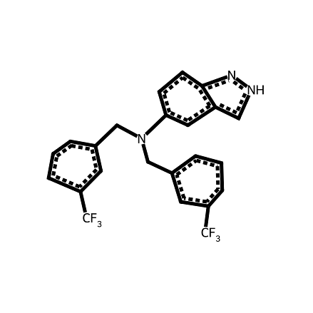 FC(F)(F)c1cccc(CN(Cc2cccc(C(F)(F)F)c2)c2ccc3n[nH]cc3c2)c1